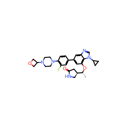 C[C@@H](Oc1cc(-c2ccc(N3CCN(C4COC4)CC3)c(F)c2)cc2ncn(C3CC3)c12)[C@H]1CNC(=O)C1